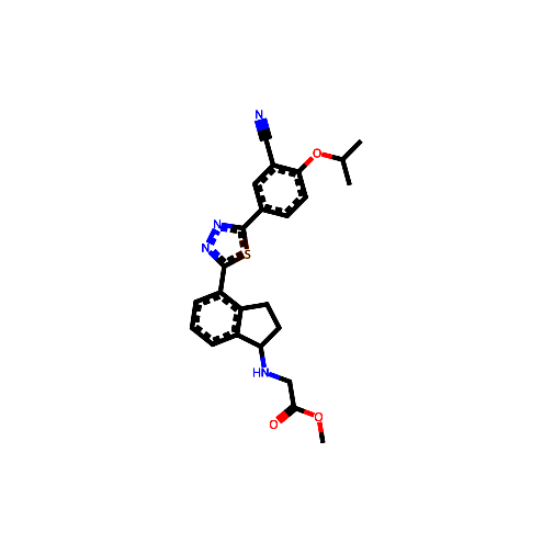 COC(=O)CNC1CCc2c(-c3nnc(-c4ccc(OC(C)C)c(C#N)c4)s3)cccc21